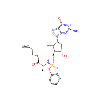 C=C1[C@H](CO[P@@](=O)(N[C@@H](C)C(=O)OCCOC)Oc2ccccc2)[C@@H](O)C[C@@H]1n1cnc2c(=O)[nH]c(N)nc21